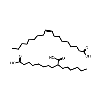 CCCCCCC(CCCCCCCC(=O)O)C(=O)O.CCCCCCCC/C=C\CCCCCCCC(=O)O